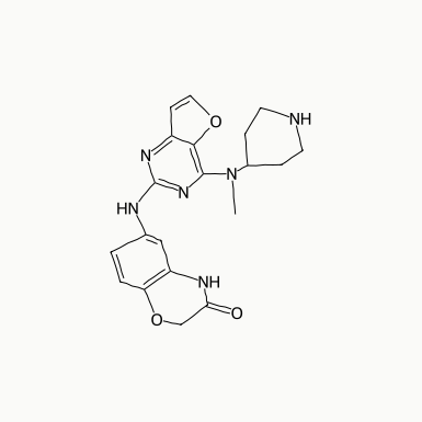 CN(c1nc(Nc2ccc3c(c2)NC(=O)CO3)nc2ccoc12)C1CCNCC1